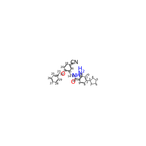 Cc1c(C2CCCC2)ccc(C(=O)NCc2cc(C#N)ccc2OCc2ccccc2)c1N